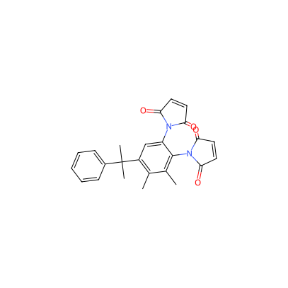 Cc1c(C(C)(C)c2ccccc2)cc(N2C(=O)C=CC2=O)c(N2C(=O)C=CC2=O)c1C